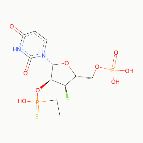 CCP(O)(=S)O[C@@H]1[C@H](F)[C@@H](COP(=O)(O)O)O[C@H]1n1ccc(=O)[nH]c1=O